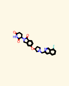 O=C1CCC(N2Cc3cc(OC4CCN(Cc5cc6cccc(F)c6cn5)C4)ccc3C2=O)C(=O)N1